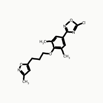 Cc1cc(CCCOc2c(C)cc(-c3noc(Cl)n3)cc2C)on1